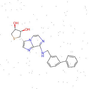 O[C@@H]1[C@H](O)CS[C@H]1c1cnc2c(NCc3cccc(-c4ccccc4)c3)nccn12